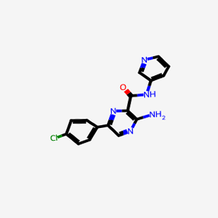 Nc1ncc(-c2ccc(Cl)cc2)nc1C(=O)Nc1cccnc1